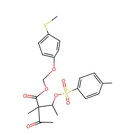 CSc1ccc(OCOC(=O)C(C)(C(C)=O)C(C)OS(=O)(=O)c2ccc(C)cc2)cc1